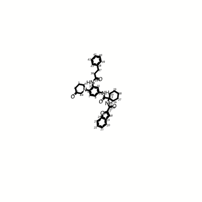 O=C1CCCN(c2ccc(NC(=O)C3(NC(=O)c4cc5ccccc5o4)CCCCC3)cc2NC(=O)CCc2ccccc2)C1